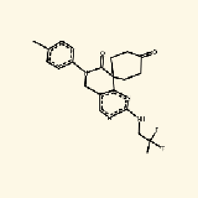 Cc1ccc(N2Cc3cnc(NCC(F)(F)F)nc3C3(CCC(=O)CC3)C2=O)cc1